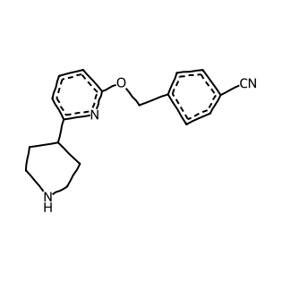 N#Cc1ccc(COc2cccc(C3CCNCC3)n2)cc1